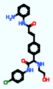 Nc1ccccc1NC(=O)C=Cc1ccc(C(NCCO)C(=O)Nc2ccc(Cl)cc2)cc1